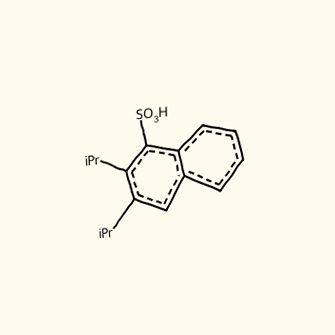 CC(C)c1cc2ccccc2c(S(=O)(=O)O)c1C(C)C